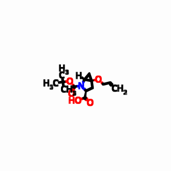 C=CCO[C@@]12C[C@@H](C(=O)O)N(C(=O)OC(C)(C)C)[C@@H]1C2